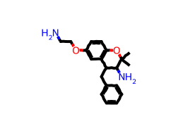 CC1(C)Oc2ccc(OCCN)cc2C(Cc2ccccc2)C1N